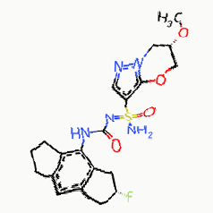 CO[C@@H]1COc2c([S@](N)(=O)=NC(=O)Nc3c4c(cc5c3C[C@H](F)C5)CCC4)cnn2C1